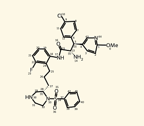 COc1ccc([C@H](c2ccc(Cl)cc2)[C@H](N)C(=O)Nc2cccc(F)c2CCC[C@H]2CNCCN2S(=O)(=O)c2ccccc2)cn1